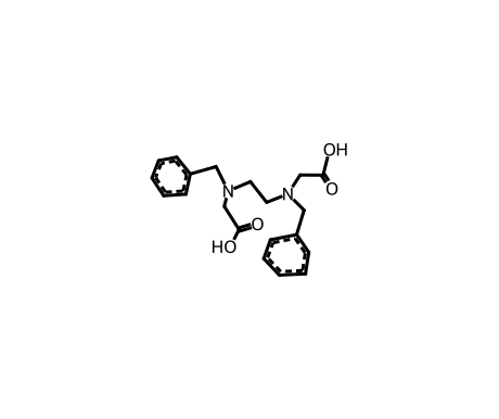 O=C(O)CN(CCN(CC(=O)O)Cc1ccccc1)Cc1ccccc1